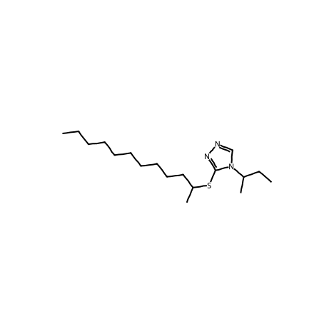 CCCCCCCCCCC(C)Sc1nncn1C(C)CC